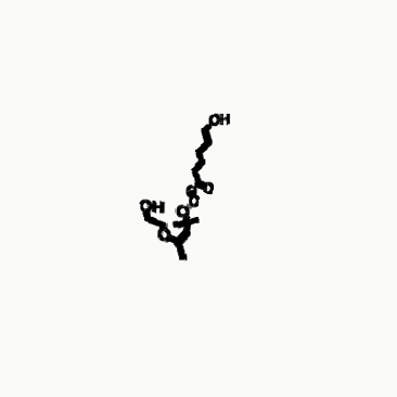 CC(CC(C)(C)OOOC(=O)CCCCCO)OCCO